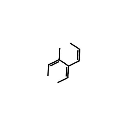 C\C=C/C(=C/C)C(/C)=C\C